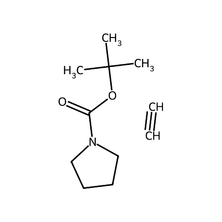 C#C.CC(C)(C)OC(=O)N1CCCC1